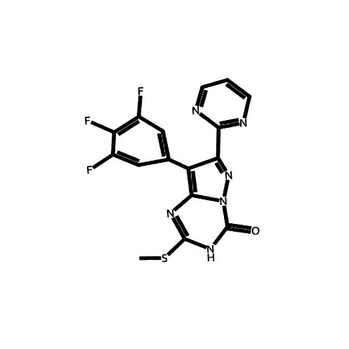 CSc1nc2c(-c3cc(F)c(F)c(F)c3)c(-c3ncccn3)nn2c(=O)[nH]1